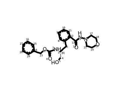 O=C(N[C@@H](CO)Cc1ccccc1C(=O)NN1CCOCC1)OCc1ccccc1